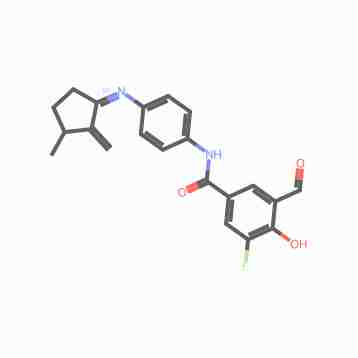 C=C1/C(=N\c2ccc(NC(=O)c3cc(F)c(O)c(C=O)c3)cc2)CCC1C